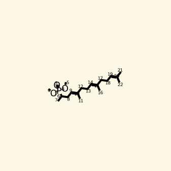 COP(=O)(OC)C(C)C/C=C(\C)CC/C=C(\C)CCC=C(C)C